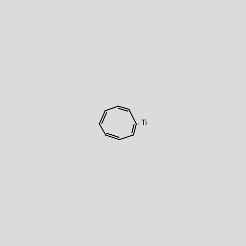 [C]1=CC=CC=CC=C1.[Ti]